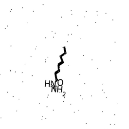 CCCC=CC=CC(=O)NN